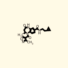 Cc1nocc1C(=O)N1c2ccc(C(=O)NCCC3CC3)cc2NC(=O)CC1C